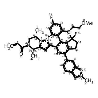 C=CC(=O)N1C[C@H](C)n2nc(-c3nc(-c4ccc5cn(C)nc5c4)c4c(c3-c3c(F)cc(F)cc3OCCOC)C(F)(F)CC4)cc2[C@H]1C